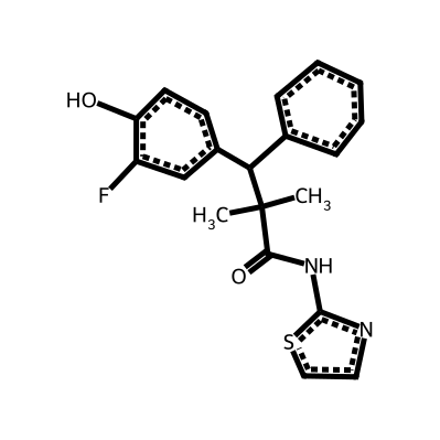 CC(C)(C(=O)Nc1nccs1)C(c1ccccc1)c1ccc(O)c(F)c1